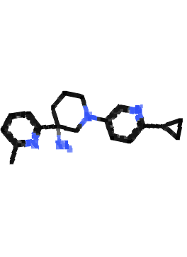 Cc1cccc(C2(N)CCCN(c3ccc(C4CC4)nc3)C2)n1